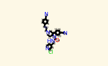 N#Cc1ccc(/C=C/CN2CCc3c(c4ccc(C#N)cc4n3C(=O)NCc3ccnc(Cl)c3)C2)cc1